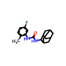 Cc1ccc(F)cc1NC(=O)NC1C2CC3CC(C2)CC1C3